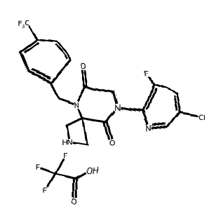 O=C(O)C(F)(F)F.O=C1CN(c2ncc(Cl)cc2F)C(=O)C2(CNC2)N1Cc1ccc(C(F)(F)F)cc1